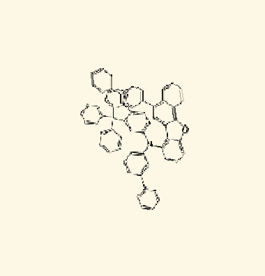 c1ccc(-c2ccc(-c3cc4c(oc5cccc(N(c6cccc(-c7ccccc7)c6)c6ccc7c(c6)C(c6ccccc6)(c6ccccc6)c6ccccc6-7)c54)c4ccccc34)cc2)cc1